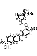 CC(=O)N(C)c1ccc2nc(-c3ccc([N+](=O)[O-])c(OCC(CF)O[Si](C)(C)C(C)(C)C)c3)ccc2c1